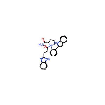 NC(=O)[C@@H]1CCC[N+]1(C(=O)CCc1nc2ccccc2[nH]1)c1ccccc1-c1cc2ccccc2[nH]1